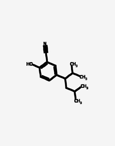 CC(C)CC(c1ccc(O)c(C#N)c1)C(C)C